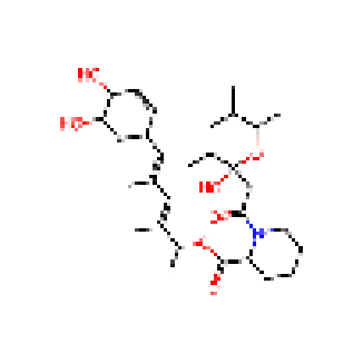 CC(=C\C1C=CC(O)C(O)C1)/C=C(\C)C(C)OC(=O)C1CCCCN1C(=O)CC1(O)OC(C)C(C)CC1C